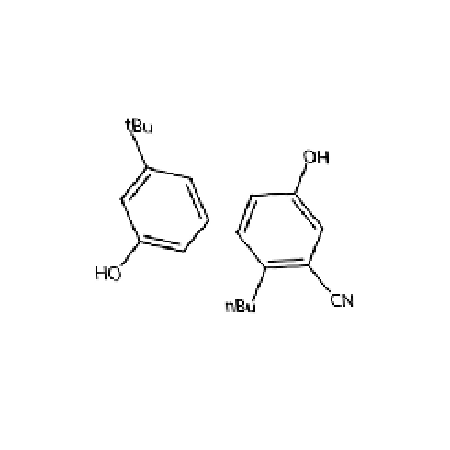 CC(C)(C)c1cccc(O)c1.CCCCc1ccc(O)cc1C#N